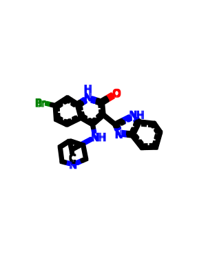 O=c1[nH]c2cc(Br)ccc2c(NC2CN3CCC2CC3)c1-c1nc2ccccc2[nH]1